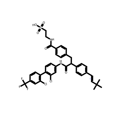 CC(C)(C)/C=C/c1ccc(C(Cc2ccc(C(=O)NCCS(=O)(=O)O)cc2)C(=O)Nc2ccc(-c3ccc(C(F)(F)F)cc3Cl)c(Cl)c2)cc1